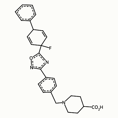 O=C(O)C1CCN(Cc2ccc(-c3noc(C4(F)C=CC(c5ccccc5)C=C4)n3)cc2)CC1